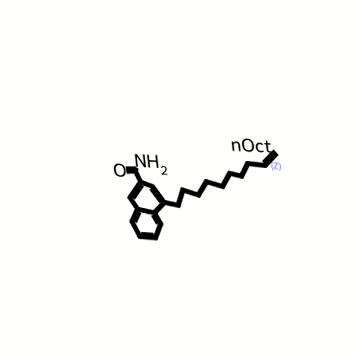 CCCCCCCC/C=C\CCCCCCCCc1cc(C(N)=O)cc2ccccc12